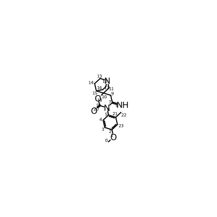 COc1ccc(N2C(=N)CC3(CN4CCC3CC4)OC2=O)c(C)c1